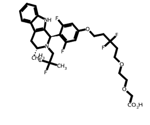 C[C@@H]1Cc2c([nH]c3ccccc23)[C@@H](c2c(F)cc(OCCC(F)(F)CCOCCOCC(=O)O)cc2F)N1CC(C)(C)F